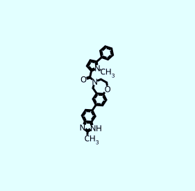 Cc1nc2ccc(-c3ccc4c(c3)CN(C(=O)c3ccc(-c5ccccc5)n3C)CCO4)cc2[nH]1